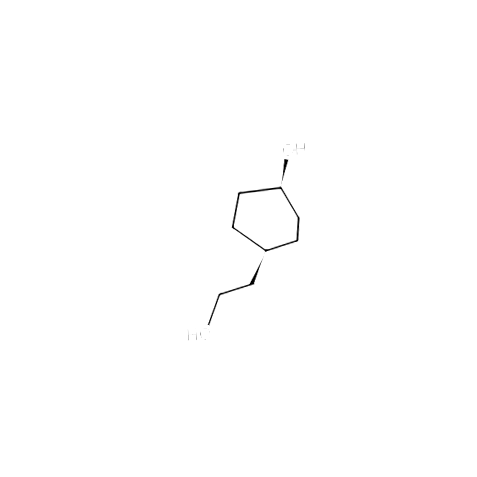 OCC[C@H]1CC[C@@H](O)CC1